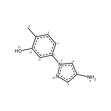 Cc1ccc(-n2cc(N)cn2)cc1O